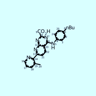 CCCCc1ccc(Nc2nc(C(=O)O)nc3nc(-c4ncccc4C)ccc23)cc1